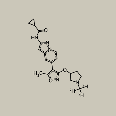 [2H]C([2H])([2H])N1CC[C@H](Oc2noc(C)c2-c2ccn3nc(NC(=O)C4CC4)cc3c2)C1